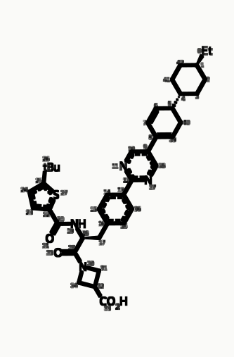 CC[C@H]1CC[C@H](C2C=CC(c3cnc(-c4ccc(C[C@H](NC(=O)c5ccc(C(C)(C)C)s5)C(=O)N5CC(C(=O)O)C5)cc4)nc3)=CC2)CC1